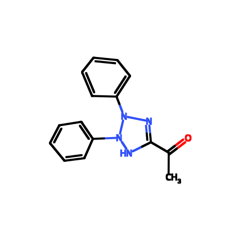 CC(=O)C1=NN(c2ccccc2)N(c2ccccc2)N1